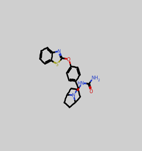 NC(=O)NC1CC2CCC(C1)N2Cc1ccc(Oc2nc3ccccc3s2)cc1